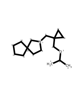 CC(C)OCC1(CN2CCC3(CCCC3)C2)CC1